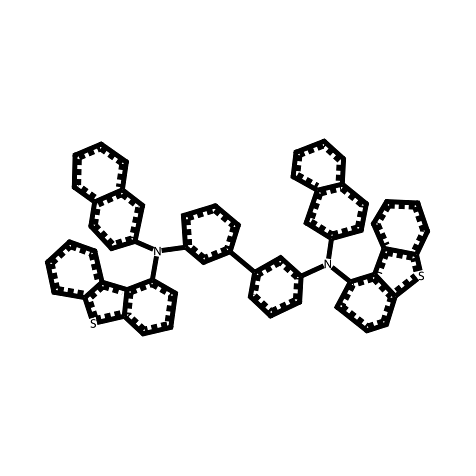 c1cc(-c2cccc(N(c3ccc4ccccc4c3)c3cccc4sc5ccccc5c34)c2)cc(N(c2ccc3ccccc3c2)c2cccc3sc4ccccc4c23)c1